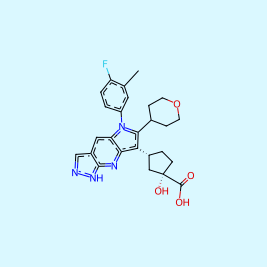 Cc1cc(-n2c(C3CCOCC3)c([C@@H]3CC[C@@](O)(C(=O)O)C3)c3nc4[nH]ncc4cc32)ccc1F